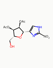 CC(=O)O[C@@H]1[C@H](OC(C)=O)[C@@H](CO)O[C@H]1c1c[nH]c([N+](=O)[O-])n1